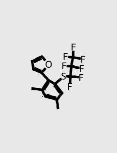 Cc1[c]c(C)c(-c2ccco2)c(SC(F)(F)C(F)(F)C(F)(F)F)c1